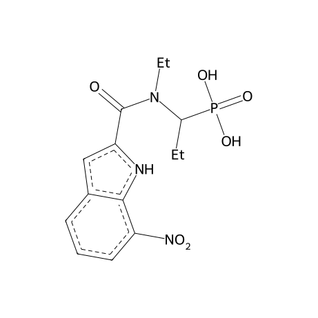 CCC(N(CC)C(=O)c1cc2cccc([N+](=O)[O-])c2[nH]1)P(=O)(O)O